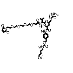 CC(C)[C@H](NC(=O)CCOCCOCCOCCOCCN1C(=O)C=CC1=O)C(=O)NC(CCCNC(N)=O)C(=O)Nc1ccc(COC(=O)NCCCCO)cc1